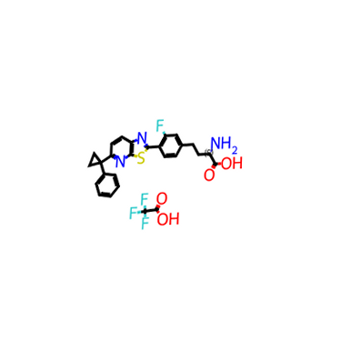 N[C@@H](CCc1ccc(-c2nc3ccc(C4(c5ccccc5)CC4)nc3s2)c(F)c1)C(=O)O.O=C(O)C(F)(F)F